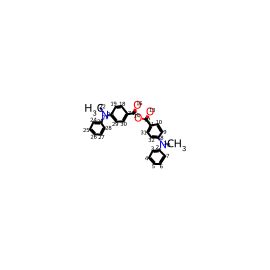 CN(c1ccccc1)c1ccc(C(=O)OC(=O)c2ccc(N(C)c3ccccc3)cc2)cc1